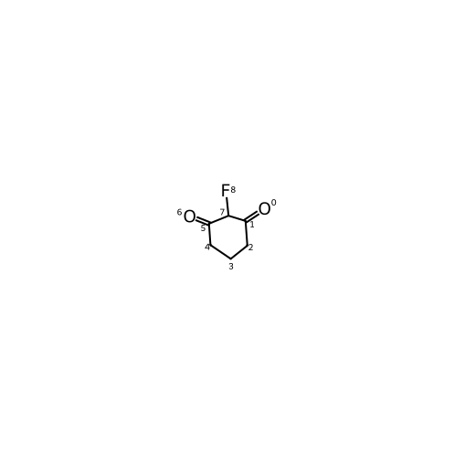 O=C1CCCC(=O)C1F